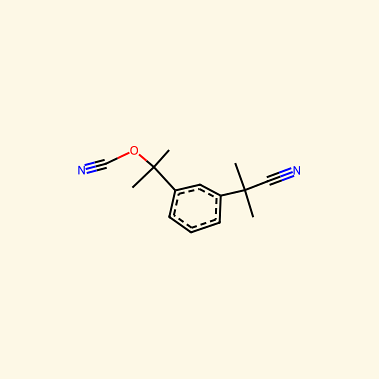 CC(C)(C#N)c1cccc(C(C)(C)OC#N)c1